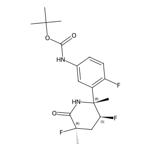 CC(C)(C)OC(=O)Nc1ccc(F)c([C@@]2(C)NC(=O)[C@](C)(F)C[C@@H]2F)c1